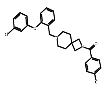 O=C(c1ccc(Cl)cc1)N1CC2(CCN(Cc3ccccc3Oc3cccc(Cl)c3)CC2)C1